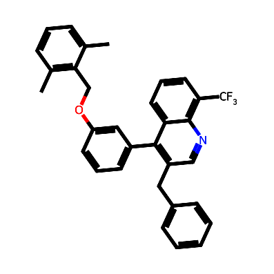 Cc1cccc(C)c1COc1cccc(-c2c(Cc3ccccc3)cnc3c(C(F)(F)F)cccc23)c1